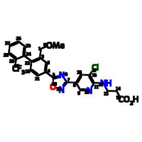 COCc1cc(-c2nc(-c3cnc(NCCC(=O)O)c(Cl)c3)no2)ccc1-c1ccccc1C(F)(F)F